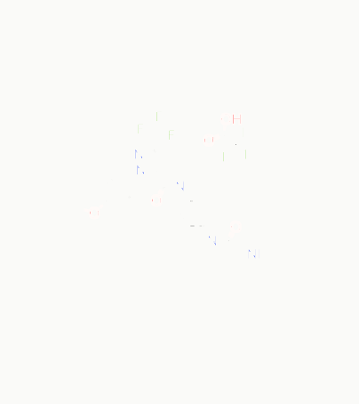 COc1ccc(-n2nc(C(F)(F)F)c3c2C(=O)N(c2ccc(N(C)C(=O)CNC4CCCC4)cc2)CC3)cc1.O=C(O)C(F)(F)F